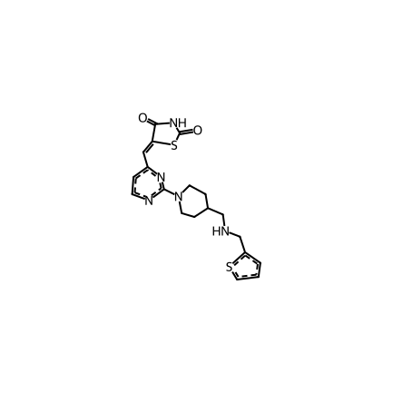 O=C1NC(=O)C(=Cc2ccnc(N3CCC(CNCc4cccs4)CC3)n2)S1